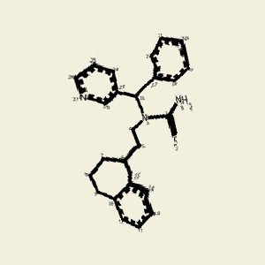 NC(=S)N(CCC1CCCc2ccccc21)C(c1ccccc1)c1cccnc1